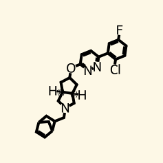 Fc1ccc(Cl)c(-c2ccc(OC3C[C@@H]4CN(CC5CC6C=CC5C6)C[C@@H]4C3)nn2)c1